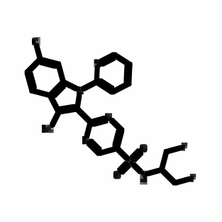 N#Cc1c(-c2ncc(S(=O)(=O)NC(CF)CF)cn2)n(-c2ccccn2)c2cc(Cl)ccc12